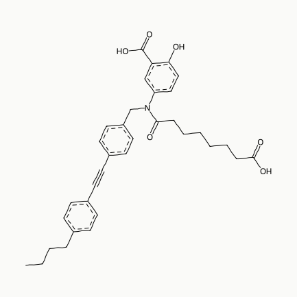 CCCCc1ccc(C#Cc2ccc(CN(C(=O)CCCCCCC(=O)O)c3ccc(O)c(C(=O)O)c3)cc2)cc1